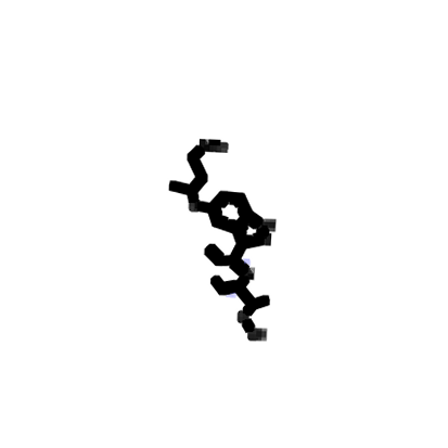 C=C/C(=N\C(=C/C)C(C)OO)c1n[nH]c2ccc(OC(C)CCNC)cc12